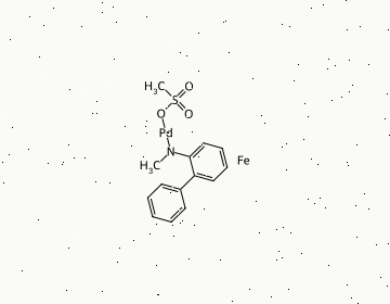 C[N]([Pd][O]S(C)(=O)=O)c1ccccc1-c1ccccc1.[Fe]